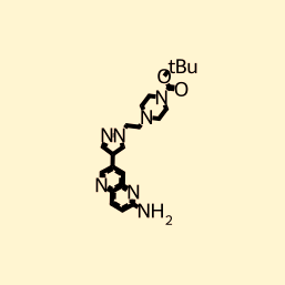 CC(C)(C)OC(=O)N1CCN(CCN2CC(c3cnc4ccc(N)nc4c3)C=N2)CC1